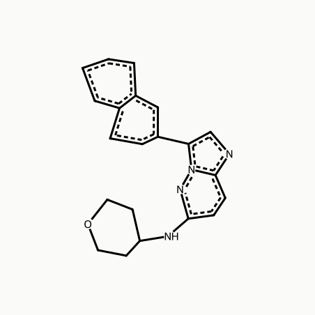 c1ccc2cc(-c3cnc4ccc(NC5CCOCC5)nn34)ccc2c1